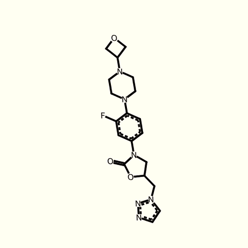 O=C1OC(Cn2ccnn2)CN1c1ccc(N2CCN(C3COC3)CC2)c(F)c1